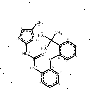 Cc1cnc(NC(=O)Nc2cccnc2Oc2ccccc2C(C)(C)C)s1